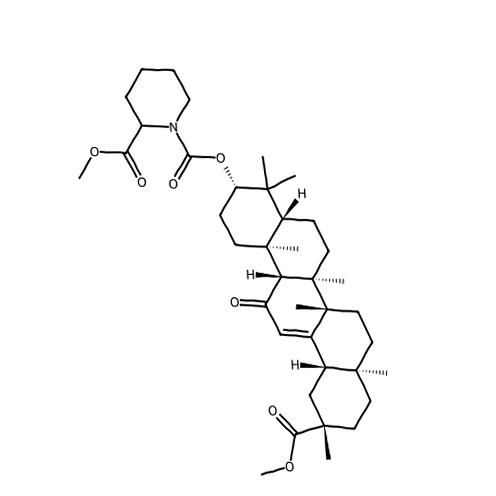 COC(=O)C1CCCCN1C(=O)O[C@H]1CC[C@]2(C)[C@H]3C(=O)C=C4[C@H]5C[C@@](C)(C(=O)OC)CC[C@]5(C)CC[C@@]4(C)[C@]3(C)CC[C@H]2C1(C)C